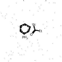 CCC(=O)CC.P.c1ccccc1